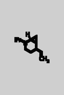 C=CC1CCN(C(C)C)[C@H]2CC12